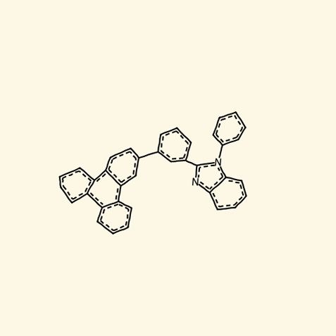 c1ccc(-n2c(-c3cccc(-c4ccc5c6ccccc6c6ccccc6c5c4)c3)nc3ccccc32)cc1